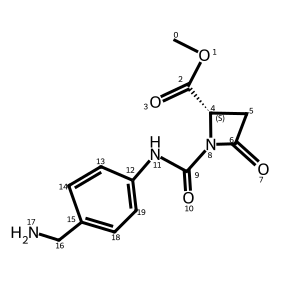 COC(=O)[C@@H]1CC(=O)N1C(=O)Nc1ccc(CN)cc1